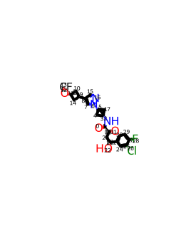 O=C(NC12CC(n3cc(C4CC(OC(F)(F)F)C4)cn3)(C1)C2)[C@@H]1C[C@@H](O)c2cc(Cl)c(F)cc2O1